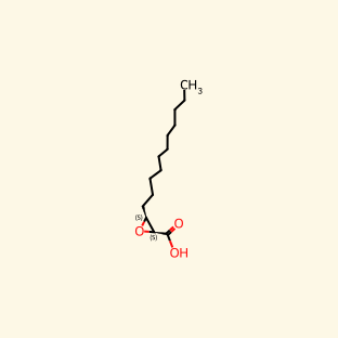 CCCCCCCCCCC[C@@H]1O[C@@H]1C(=O)O